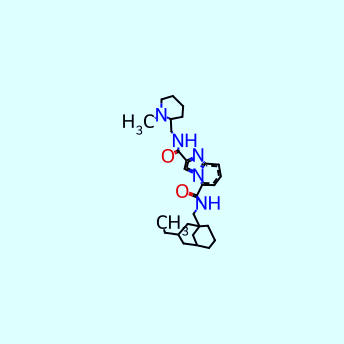 CCC1CC2CCCC(CNC(=O)c3cccc4nc(C(=O)NCC5CCCCN5C)cn34)(C1)C2